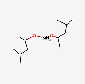 CC(C)CC(C)O[SiH2]OC(C)CC(C)C